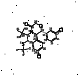 CC(C)(C)SCC(N1C(=O)CO[C@H](c2cccc(Cl)c2)[C@H]1c1ccc(Cl)cc1)C(C)(C)C